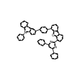 c1ccc(-c2cc(-c3ccccc3)nc(-c3cccc4c3oc3c(-c5ccc(-c6ccc7c(c6)c6ccccc6n7-c6ccccc6)cc5)cccc34)n2)cc1